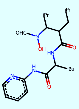 CCC(C)C(NC(=O)C(CC(C)C)C(C(C)C)N(O)C=O)C(=O)Nc1ccccn1